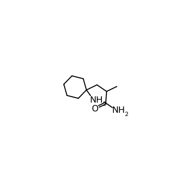 CC(CC1(N)CCCCC1)C(N)=O